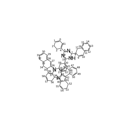 C1=CCCC(C2=NC(C3C=Cc4ccccc4C3)NC(C3=CC=CC(N4C5=CC6=CC=CCC6CC5C5=C4C(n4c6c(c7c4C=CC4C=CC=CC74)CCC=C6)CC=C5)C3)=N2)=C1